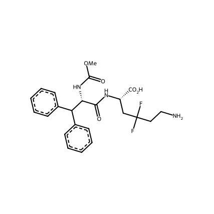 COC(=O)N[C@H](C(=O)N[C@@H](CC(F)(F)CCN)C(=O)O)C(c1ccccc1)c1ccccc1